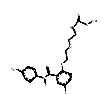 CC(C)(C)OC(=O)NCCOCCOc1ccc(Cl)cc1C(=O)N(Cl)c1ccc([N+](=O)[O-])cc1